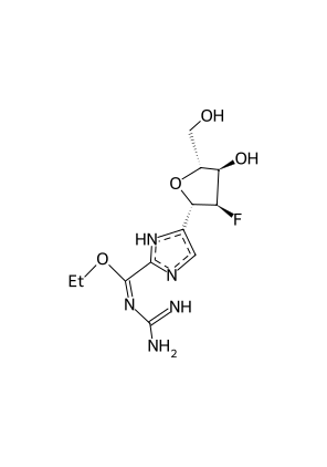 CCO/C(=N/C(=N)N)c1ncc([C@@H]2O[C@H](CO)[C@@H](O)[C@H]2F)[nH]1